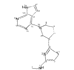 CNc1csc(C2CCCN(c3ncnc4[nH]ccc34)C2)n1